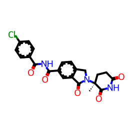 C[C@]1(N2Cc3ccc(C(=O)NC(=O)c4ccc(Cl)cc4)cc3C2=O)CCC(=O)NC1=O